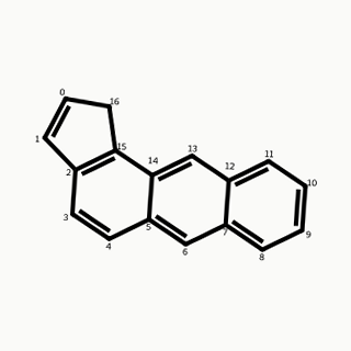 C1=Cc2ccc3cc4ccccc4cc3c2C1